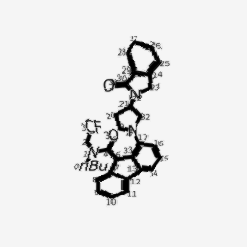 CCCCN(CC(F)(F)F)C(=O)C1c2ccccc2-c2cccc(N3CCC(N4Cc5ccccc5C4=O)C3)c21